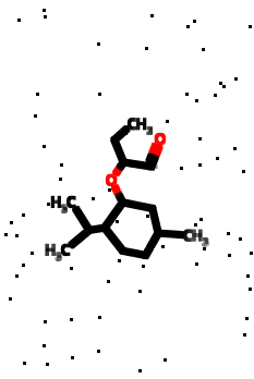 CCC([C]=O)OC1CC(C)CCC1C(C)C